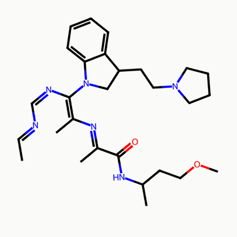 C/C=N/C=N\C(=C(C)\N=C(/C)C(=O)NC(C)CCOC)N1CC(CCN2CCCC2)c2ccccc21